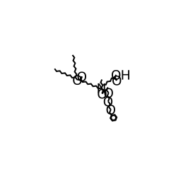 CCCCCCCCC(CCCCCCCC)OC(=O)CCCCCCCN(C(=O)C(C)OCCOCCOCc1ccccc1)C(CC)CCCCC(=O)O